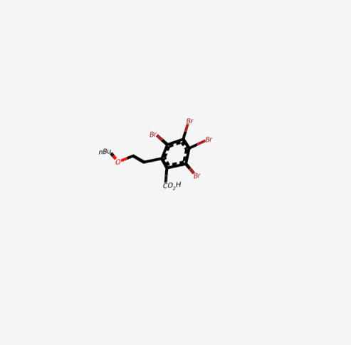 CCCCOCCc1c(Br)c(Br)c(Br)c(Br)c1C(=O)O